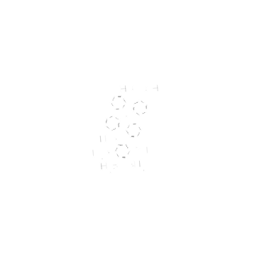 Bc1c(B)c(B)c(-c2ccc3c(c2)C(c2ccccc2)(c2ccccc2)c2cc(C(C)C)ccc2-3)c(B)c1B